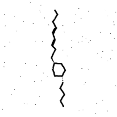 CCCC=CC=CCC[C@H]1CC[C@H](CCCCC)CC1